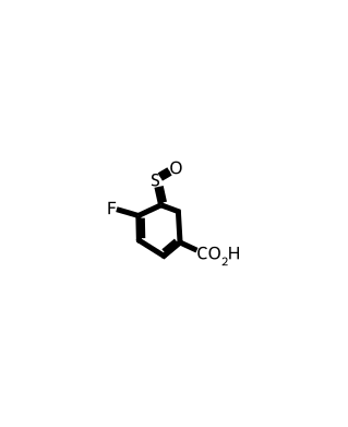 O=S=C1CC(C(=O)O)=CC=C1F